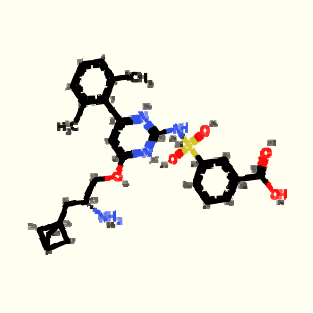 Cc1cccc(C)c1-c1cc(OC[C@H](N)CC23CC(C2)C3)nc(NS(=O)(=O)c2cccc(C(=O)O)c2)n1